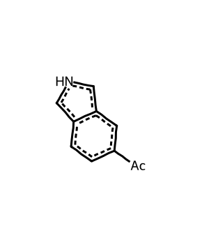 [CH2]C(=O)c1ccc2c[nH]cc2c1